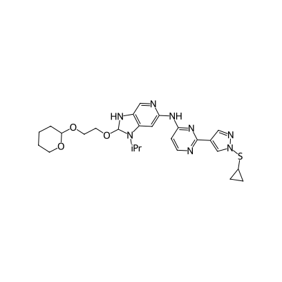 CC(C)N1c2cc(Nc3ccnc(-c4cnn(SC5CC5)c4)n3)ncc2NC1OCCOC1CCCCO1